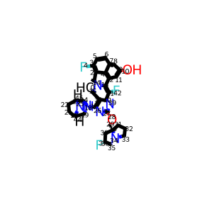 C#Cc1c(F)ccc2cc(O)cc(-c3ncc4c(N5C[C@H]6CC[C@@H](C5)N6)nc(OC[C@@]56CCCN5C[C@H](F)C6)nc4c3F)c12